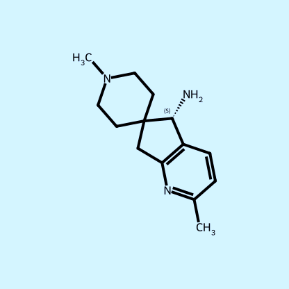 Cc1ccc2c(n1)CC1(CCN(C)CC1)[C@@H]2N